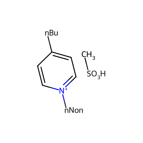 CCCCCCCCC[n+]1ccc(CCCC)cc1.CS(=O)(=O)O